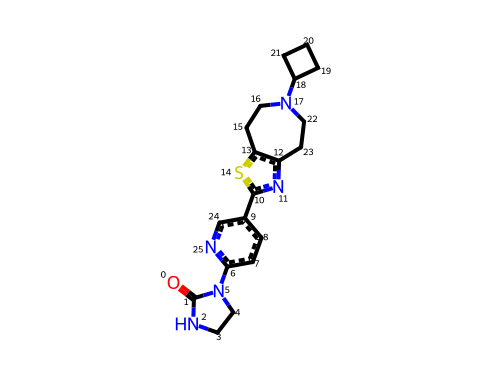 O=C1NCCN1c1ccc(-c2nc3c(s2)CCN(C2CCC2)CC3)cn1